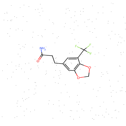 NC(=O)CCc1cc2c(c(C(F)(F)F)c1)OCO2